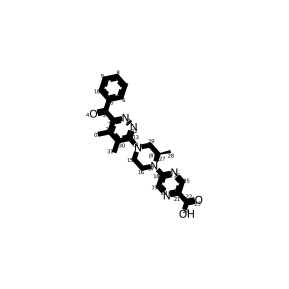 Cc1c(C(=O)c2ccccc2)nnc(N2CCN(c3cnc(C(=O)O)cn3)[C@H](C)C2)c1C